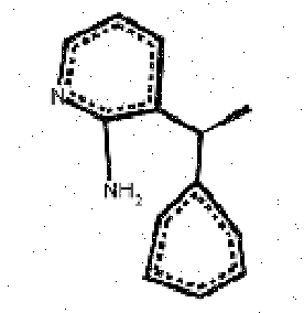 C[C@@H](c1ccccc1)c1cccnc1N